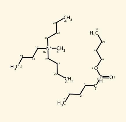 CCCCO[PH](=O)OCCCC.CCCC[N+](C)(CCCC)CCCC